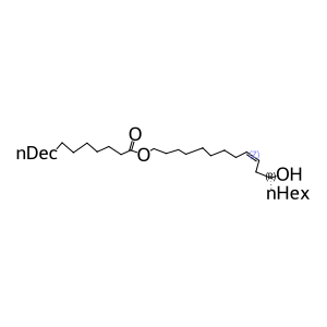 CCCCCCCCCCCCCCCCC(=O)OCCCCCCCC/C=C\C[C@H](O)CCCCCC